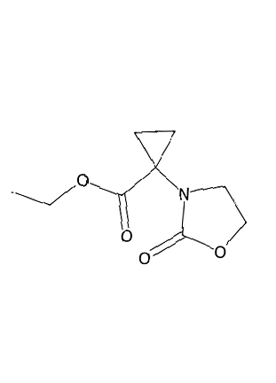 CCOC(=O)C1(N2CCOC2=O)CC1